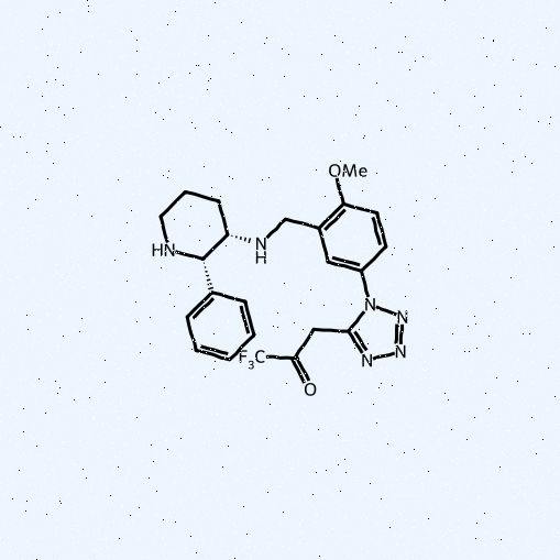 COc1ccc(-n2nnnc2CC(=O)C(F)(F)F)cc1CN[C@H]1CCCN[C@H]1c1ccccc1